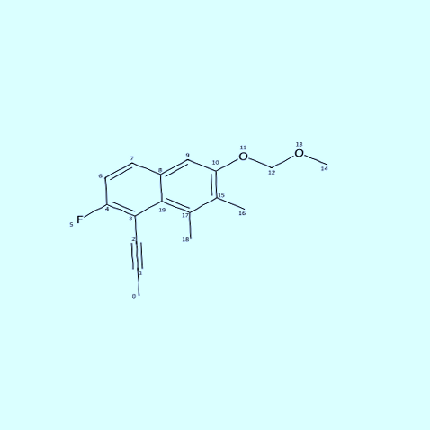 CC#Cc1c(F)ccc2cc(OCOC)c(C)c(C)c12